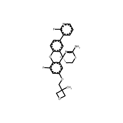 CC1(COc2cc(F)c3c(c2)[C@@]2(CCSC(N)=N2)c2cc(-c4cccnc4F)ccc2O3)COC1